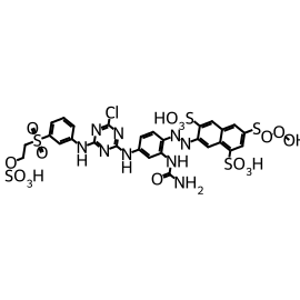 NC(=O)Nc1cc(Nc2nc(Cl)nc(Nc3cccc(S(=O)(=O)CCOS(=O)(=O)O)c3)n2)ccc1N=Nc1cc2c(S(=O)(=O)O)cc(SOOO)cc2cc1S(=O)(=O)O